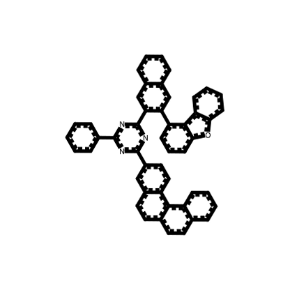 c1ccc(-c2nc(-c3ccc4c(ccc5ccc6ccccc6c54)c3)nc(-c3cc4ccccc4cc3-c3cccc4oc5ccccc5c34)n2)cc1